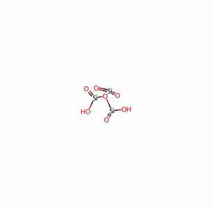 O=[Si](O)O[Si](=O)O.O=[Si]=O